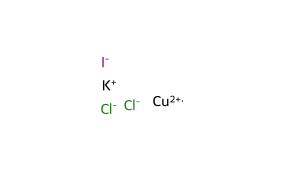 [Cl-].[Cl-].[Cu+2].[I-].[K+]